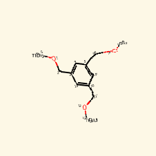 CCCCOCc1cc(COCCCC)cc(COCCCC)c1